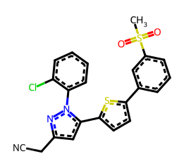 CS(=O)(=O)c1cccc(-c2ccc(-c3cc(CC#N)nn3-c3ccccc3Cl)s2)c1